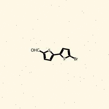 O=Cc1ccc(-c2ccc(Br)s2)s1